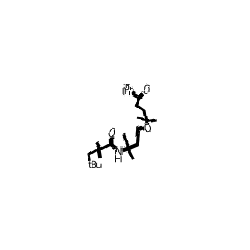 CC(C)C(=O)CCC(C)(C)OCCC(C)(C)NC(=O)C(C)(C)CC(C)(C)C